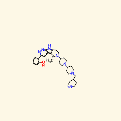 C[C@@H]1c2c([nH]c3nnc(-c4ccccc4O)cc23)CCN1C1CCN(C2CCN(CC3CCNCC3)CC2)CC1